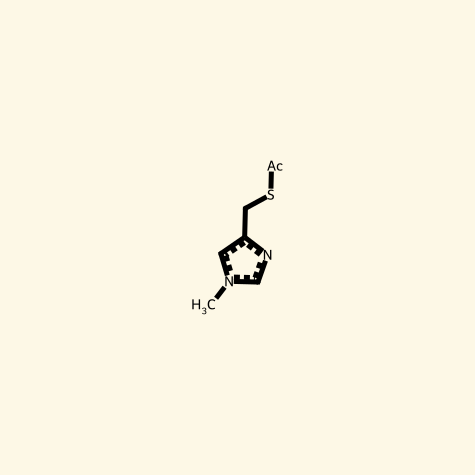 CC(=O)SCc1cn(C)cn1